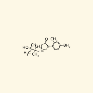 Bc1ccc(N2C[C@H](CC(C)(C)[Si](C)(C)O)CC2=O)c(C)c1